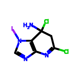 NC1(Cl)CC(Cl)=Nc2ncn(I)c21